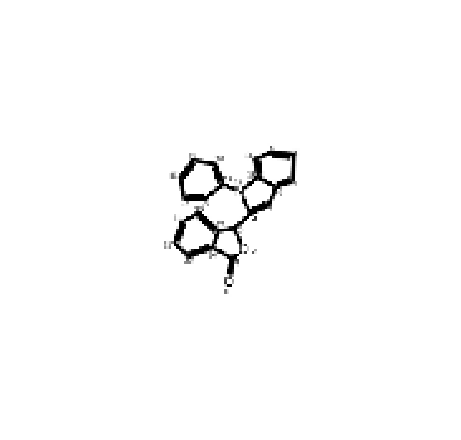 O=C1OC(c2cc3ccccc3n2-c2ccccc2)c2ccccc21